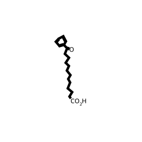 O=C(O)CCCCCCCCCCCC(=O)c1ccccc1